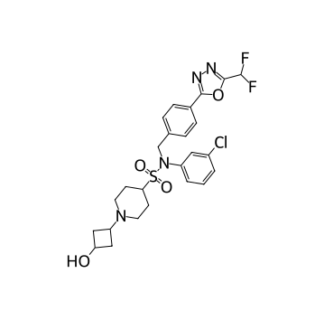 O=S(=O)(C1CCN(C2CC(O)C2)CC1)N(Cc1ccc(-c2nnc(C(F)F)o2)cc1)c1cccc(Cl)c1